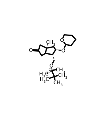 CC(C)(C)[Si](C)(C)OC[C@@H]1C2CC(=O)C[C@@]2(C)C[C@H]1OC1CCCCO1